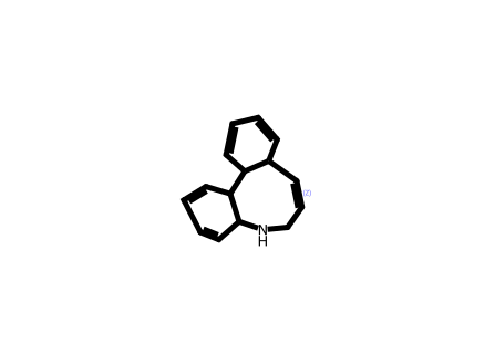 C1=CC2/C=C\CNC3C=CC=CC3C2C=C1